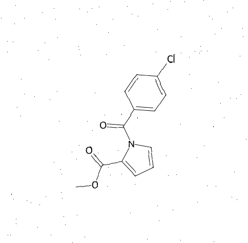 COC(=O)c1cccn1C(=O)c1ccc(Cl)cc1